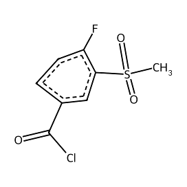 CS(=O)(=O)c1cc(C(=O)Cl)ccc1F